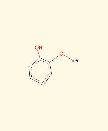 C[CH]COc1ccccc1O